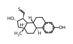 C[C@]12CC[C@@H]3c4ccc(O)cc4CC[C@H]3[C@@H]1[C@H](C=S)[C@@H](O)C2